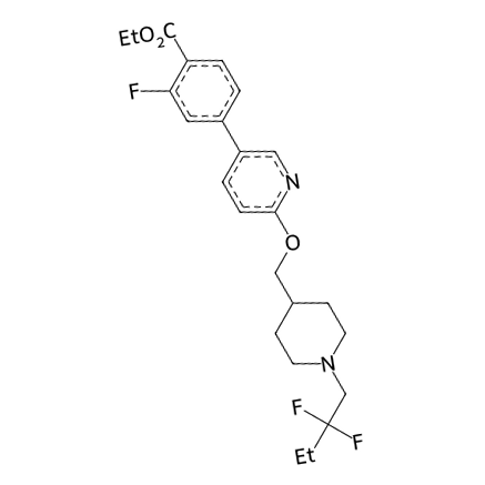 CCOC(=O)c1ccc(-c2ccc(OCC3CCN(CC(F)(F)CC)CC3)nc2)cc1F